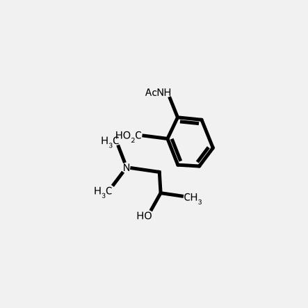 CC(=O)Nc1ccccc1C(=O)O.CC(O)CN(C)C